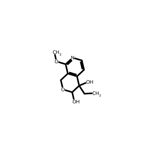 CCC1(O)c2ccnc(OC)c2COC1O